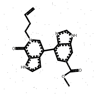 C=CCCn1cc(-c2cc(C(=O)OC)cc3[nH]cnc23)c2cc[nH]c2c1=O